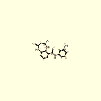 C[C@@H]1CC(=O)Nc2cccc(C(=O)Nc3cncc(O)c3)c2N1